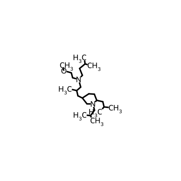 COCCN(CCC(C)C)CC(C)CC1CCC(CC(C)C)N(CC(C)C)C1